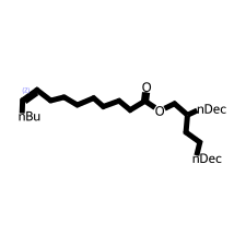 CCCC/C=C\CCCCCCCC(=O)OCC(CCCCCCCCCC)CCCCCCCCCCCC